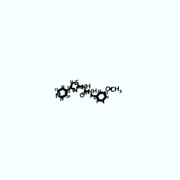 COc1cccc(CNC(=O)NC2=NC(c3ccncc3)CS2)c1